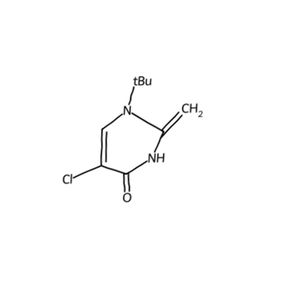 C=C1NC(=O)C(Cl)=CN1C(C)(C)C